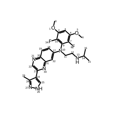 COc1cc(OC)c(F)c(N(CCNC(C)C)c2ccc3ncc(-c4c[nH]nc4C)nc3c2)c1F